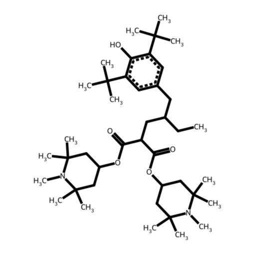 CCC(Cc1cc(C(C)(C)C)c(O)c(C(C)(C)C)c1)CC(C(=O)OC1CC(C)(C)N(C)C(C)(C)C1)C(=O)OC1CC(C)(C)N(C)C(C)(C)C1